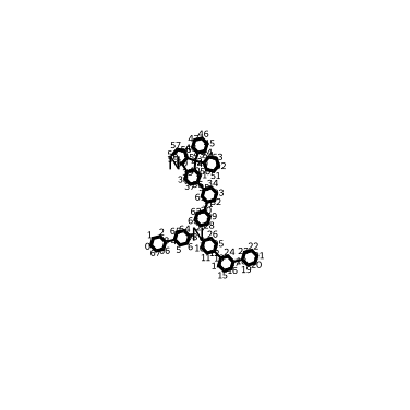 c1ccc(-c2ccc(N(c3ccc(-c4cccc(-c5ccccc5)c4)cc3)c3ccc(-c4cccc(-c5ccc6c(c5)C(c5ccccc5)(c5ccccc5)c5cccnc5-6)c4)cc3)cc2)cc1